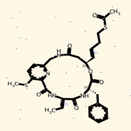 C/C=C1\NC(=O)c2nc(ccc2SC)CNC(=O)C[C@@H](/C=C/CCSC(C)=O)OC(=O)[C@H](Cc2ccccc2)NC1=O